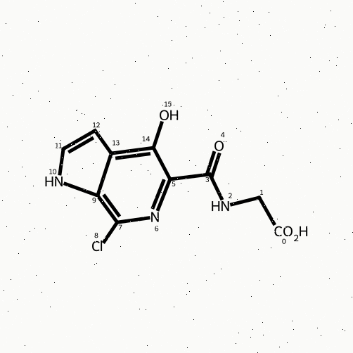 O=C(O)CNC(=O)c1nc(Cl)c2[nH]ccc2c1O